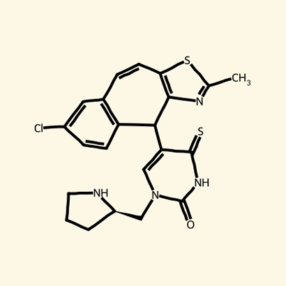 Cc1nc2c(s1)C=Cc1cc(Cl)ccc1C2c1cn(C[C@H]2CCCN2)c(=O)[nH]c1=S